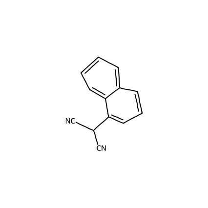 N#CC(C#N)c1cccc2ccccc12